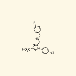 O=C(O)c1cn(-c2ccc(Cl)cc2)c(CNCc2ccc(F)cc2)n1